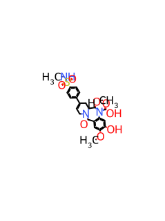 CNS(=O)(=O)c1ccc(C2=CCN3C(=O)c4cc(OC)c(O)cc4N(C(=O)O)C(OC)[C@@H]3C2)cc1